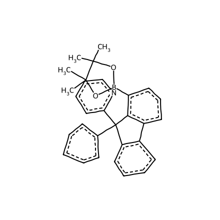 CC1(C)OB(c2cccc3c2C(c2ccccc2)(c2ccccn2)c2ccccc2-3)OC1(C)C